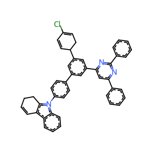 ClC1=CCC(c2cc(-c3ccc(-n4c5c(c6ccccc64)C=CCC5)cc3)cc(-c3cc(-c4ccccc4)nc(-c4ccccc4)n3)c2)C=C1